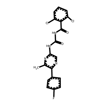 Cc1nc(NC(=O)NC(=O)c2c(Cl)cccc2Cl)cnc1-c1ccc(F)cc1